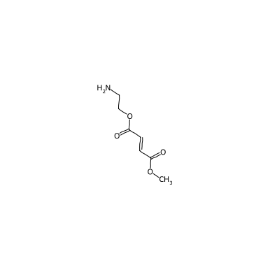 COC(=O)C=CC(=O)OCCN